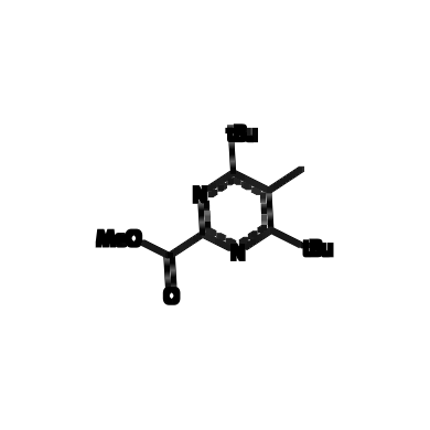 COC(=O)c1nc(C(C)(C)C)c(C)c(C(C)(C)C)n1